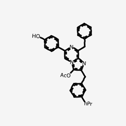 CCCc1cccc(Cc2nc3c(Cc4ccccc4)nc(-c4ccc(O)cc4)cn3c2OC(C)=O)c1